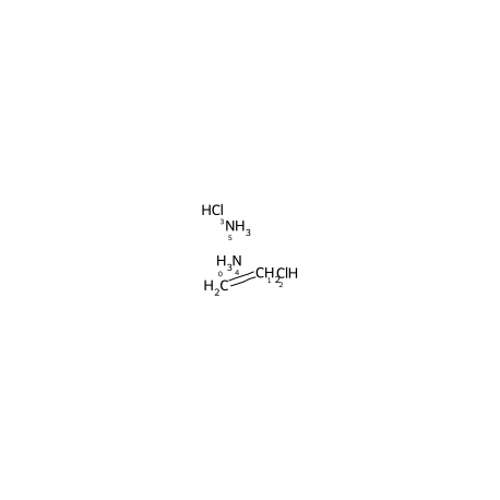 C=C.Cl.Cl.N.N